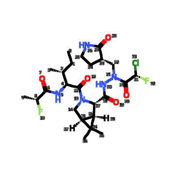 CC[C@@H](C)[C@H](NC(=O)[C@@H](C)F)C(=O)N1C[C@H]2[C@@H]([C@H]1C(=O)NN(C[C@@H]1CCNC1=O)C(=O)[C@@H](F)Cl)C2(C)C